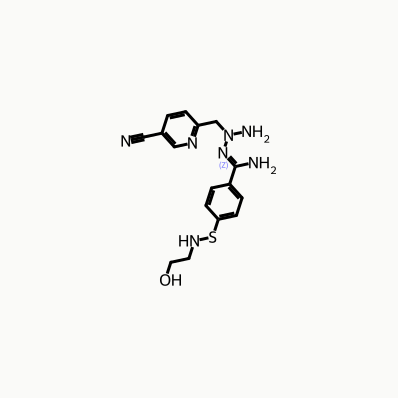 N#Cc1ccc(CN(N)/N=C(\N)c2ccc(SNCCO)cc2)nc1